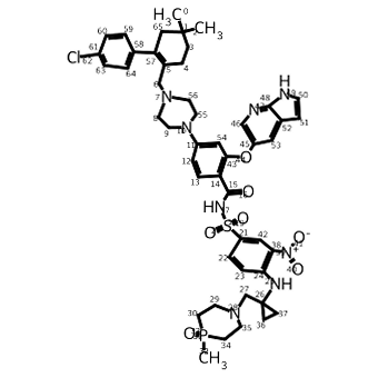 CC1(C)CCC(CN2CCN(c3ccc(C(=O)NS(=O)(=O)c4ccc(NC5(CN6CCP(C)(=O)CC6)CC5)c([N+](=O)[O-])c4)c(Oc4cnc5[nH]ccc5c4)c3)CC2)=C(c2ccc(Cl)cc2)C1